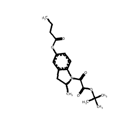 CCCC(=O)Oc1ccc2c(c1)CC(C)N2C(=O)C(=O)OC(C)(C)C